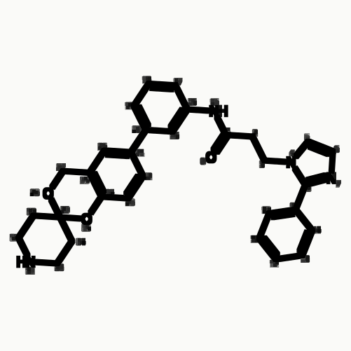 O=C(CCn1ccnc1-c1ccccc1)Nc1cccc(-c2ccc3c(c2)COC2(CCNCC2)O3)c1